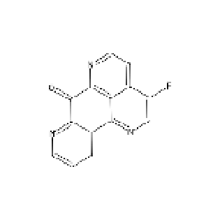 O=C1c2ncccc2-c2ncc(F)c3ccnc1c23